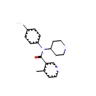 COc1ccc(N(C(=O)c2cnccc2C)C2CCNCC2)cc1